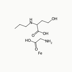 CCCNC(CCO)C(=O)O.NCC(=O)O.[Fe]